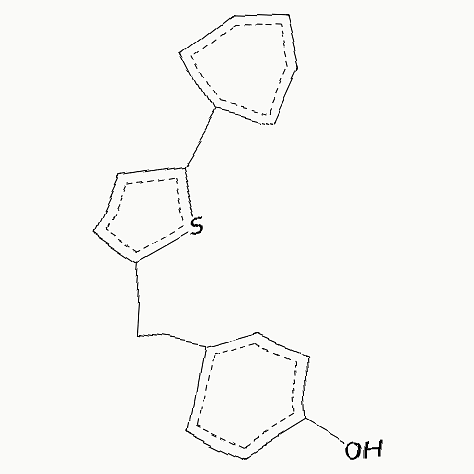 Oc1ccc(Cc2ccc(-c3ccccc3)s2)cc1